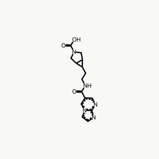 O=C(NCCC1C2CN(C(=O)O)CC12)c1cnc2nccn2c1